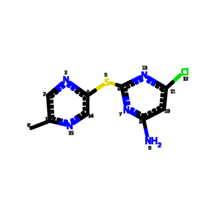 Cc1cnc(Sc2nc(N)cc(Cl)n2)cn1